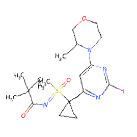 CC1COCCN1c1cc(C2(S(C)(=O)=NC(=O)C(C)(C)C)CC2)nc(I)n1